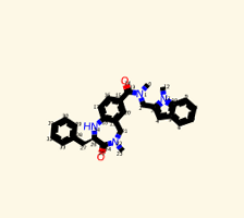 CN(Cc1cc2ccccc2n1C)C(=O)c1ccc2c(c1)CN(C)C(=O)[C@@H](Cc1ccccc1)N2